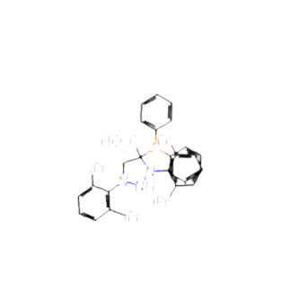 CC(C)c1cccc(C(C)C)c1N1CC(C(=O)O)(P(c2ccccc2)c2ccccc2)N(c2c(C(C)C)cccc2C(C)C)N1